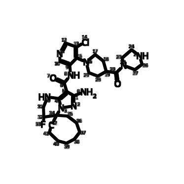 Nc1nn2c(c1C(=O)Nc1cncc(Cl)c1N1CCC(C(=O)N3CCNCC3)CC1)NCC(F)C21CCCCCCCC1